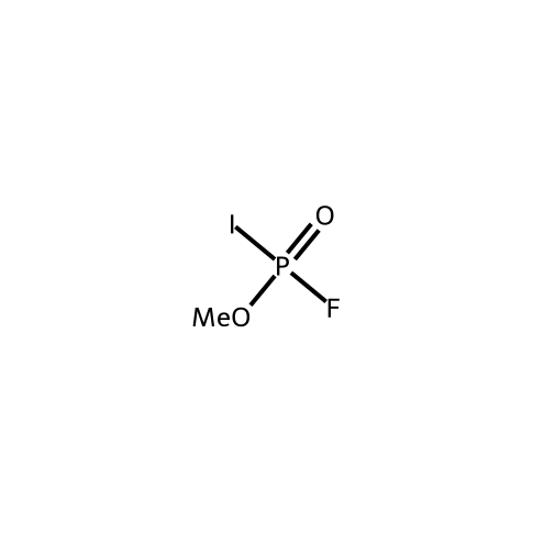 COP(=O)(F)I